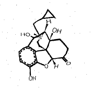 C[N@+]1(CC2CC2)CC[C@]23c4c5ccc(O)c4O[C@H]2C(=O)CC[C@@]3(O)[C@H]1C5O